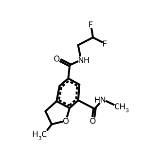 CNC(=O)c1cc(C(=O)NCC(F)F)cc2c1OC(C)C2